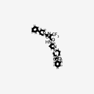 O=C(Nc1ccc(N2CCCN(S(=O)(=O)c3ccccc3F)CC2)nc1)c1oc(N2CCC(c3ccccc3)CC2)nc1C(F)(F)F